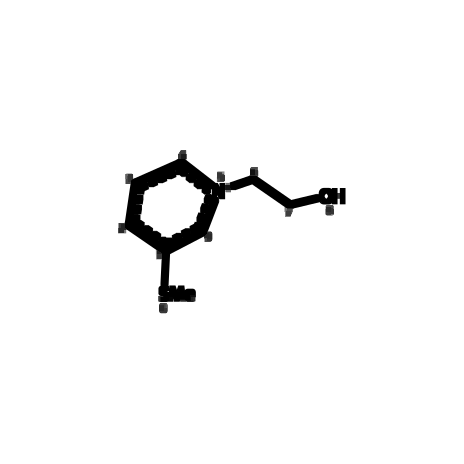 CSc1ccc[n+](CCO)c1